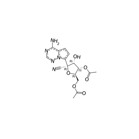 CC(=O)OC[C@H]1O[C@@](C#N)(c2ccc3c(N)ncnn23)[C@H](O)[C@@H]1OC(C)=O